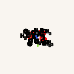 CC(C)c1c(S(=O)(=O)N(C)Cc2ccccc2)c(-c2ccc3ccccc3c2)c(-c2ccc(F)cc2)n1CC[C@@H]1C[C@H](CC(=O)OC(C)(C)C)OC(C)(C)O1